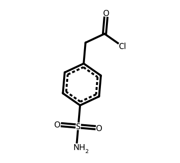 NS(=O)(=O)c1ccc(CC(=O)Cl)cc1